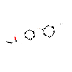 C=C(C)C(=O)Sc1ccc(Sc2cccc(SC)c2)cc1